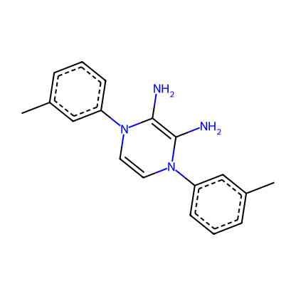 Cc1cccc(N2C=CN(c3cccc(C)c3)C(N)=C2N)c1